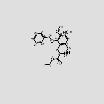 CCOC(=O)C1Cc2c(ccc(OC)c2OCc2ccccc2)CN1.Cl